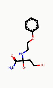 NC(=O)C([O])(CCO)NCCOc1ccccc1